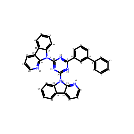 c1ccc(-c2cccc(-c3nc(-n4c5ccccc5c5cccnc54)nc(-n4c5ccccc5c5cccnc54)n3)c2)cc1